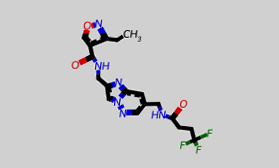 CCc1nocc1C(=O)NCc1cn2ncc(CNC(=O)CCC(F)(F)F)cc2n1